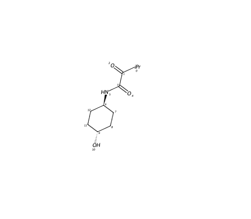 CC(C)C(=O)C(=O)N[C@H]1CC[C@H](O)CC1